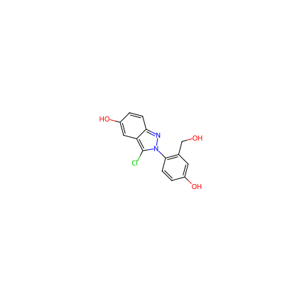 OCc1cc(O)ccc1-n1nc2ccc(O)cc2c1Cl